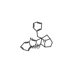 COC1C(Cc2ccccc2)CC2CCC1N2Cc1nc2ccccc2[nH]1